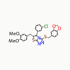 COc1ccc(Cc2sc3nnc(SCc4ccc5c(c4)OCO5)n3c2-c2cccc(Cl)c2)cc1OC